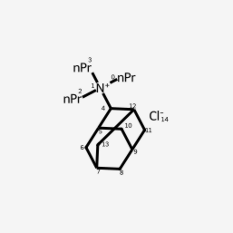 CCC[N+](CCC)(CCC)C1C2CC3CC(C2)CC1C3.[Cl-]